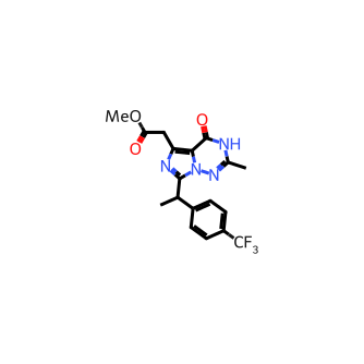 COC(=O)Cc1nc(C(C)c2ccc(C(F)(F)F)cc2)n2nc(C)[nH]c(=O)c12